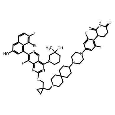 CCc1c(F)ccc2cc(O)cc(-c3ncc4c(N5CCC[C@@](C)(O)C5)nc(OCC5(CN6CCC7(CCC(N8CCN(c9cc(F)c(C%10CCC(=O)NC%10=O)c(F)c9)CC8)CC7)CC6)CC5)nc4c3F)c12